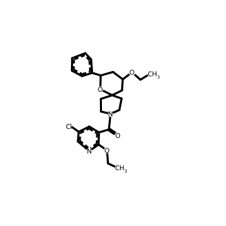 CCOc1ncc(Cl)cc1C(=O)N1CCC2(CC1)CC(OCC)CC(c1ccccc1)O2